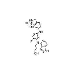 OCCCN(c1nc(Nc2ccc3c(c2)S(O)(O)NC3)ncc1F)c1cccc2[nH]ncc12